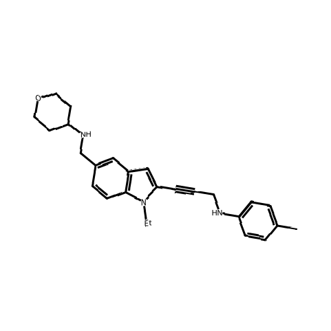 CCn1c(C#CCNc2ccc(C)cc2)cc2cc(CNC3CCOCC3)ccc21